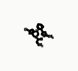 C=CC(=O)N1Cc2sc(Cl)cc2[C@H](c2ccccc2-c2cnn(C)c2)C1